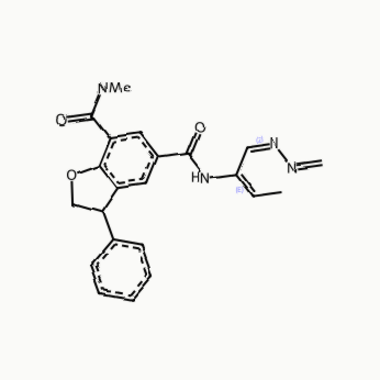 C=N/N=C\C(=C/C)NC(=O)c1cc(C(=O)NC)c2c(c1)C(c1ccccc1)CO2